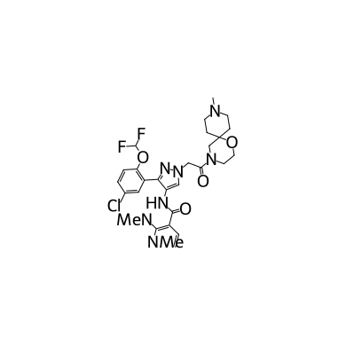 C=CC(C(=O)Nc1cn(CC(=O)N2CCOC3(CCN(C)CC3)C2)nc1-c1cc(Cl)ccc1OC(F)F)=C(NC)NC